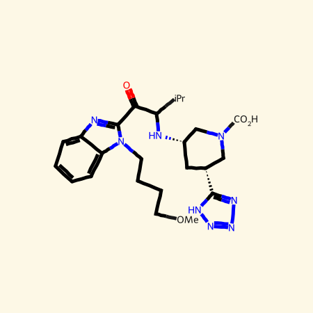 COCCCCn1c(C(=O)C(N[C@H]2C[C@@H](c3nnn[nH]3)CN(C(=O)O)C2)C(C)C)nc2ccccc21